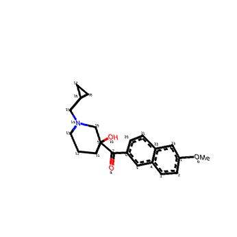 COc1ccc2cc(C(=O)C3(O)CCCN(CC4CC4)C3)ccc2c1